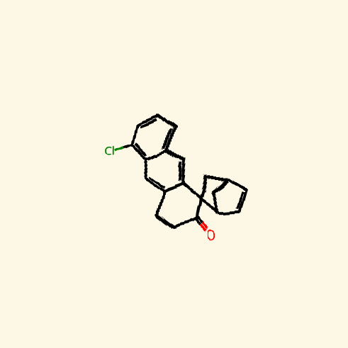 O=C1CCc2cc3c(Cl)cccc3cc2C12CC1C=CC2C1